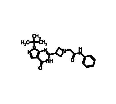 CC(C)(C)n1ncc2c(=O)[nH]c(C3CN(CC(=O)Nc4ccccc4)C3)nc21